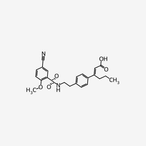 CCCC(=CC(=O)O)c1ccc(CCNS(=O)(=O)c2cc(C#N)ccc2OC)cc1